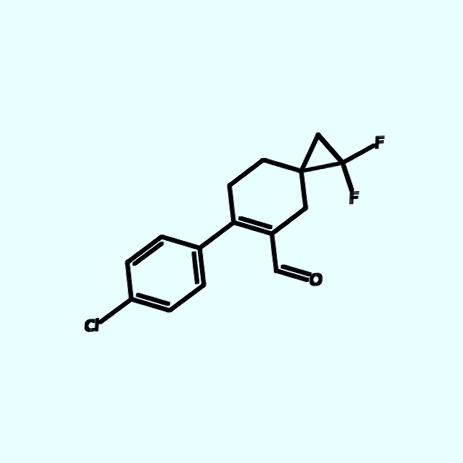 O=CC1=C(c2ccc(Cl)cc2)CCC2(C1)CC2(F)F